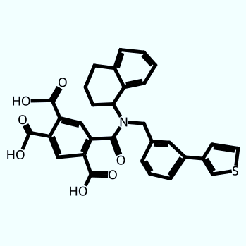 O=C(O)c1cc(C(=O)O)c(C(=O)N(Cc2cccc(-c3ccsc3)c2)C2CCCc3ccccc32)cc1C(=O)O